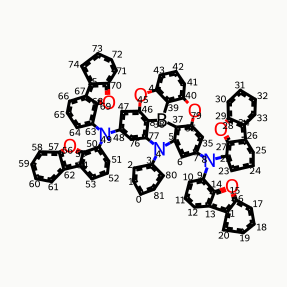 c1ccc(N2c3cc(N(c4cccc5c4oc4ccccc45)c4cccc5c4oc4ccccc45)cc4c3B3c5c(cccc5Oc5cc(N(c6cccc7c6oc6ccccc67)c6cccc7c6oc6ccccc67)cc2c53)O4)cc1